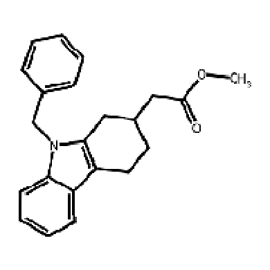 COC(=O)CC1CCc2c(n(Cc3ccccc3)c3ccccc23)C1